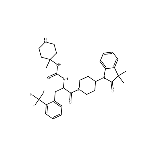 CC1(NC(=O)NC(Cc2ccccc2C(F)(F)F)C(=O)N2CCC(N3C(=O)C(C)(C)c4ccccc43)CC2)CCNCC1